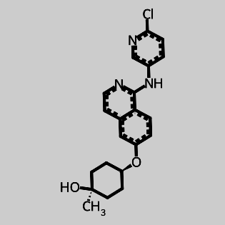 C[C@]1(O)CC[C@@H](Oc2ccc3c(Nc4ccc(Cl)nc4)nccc3c2)CC1